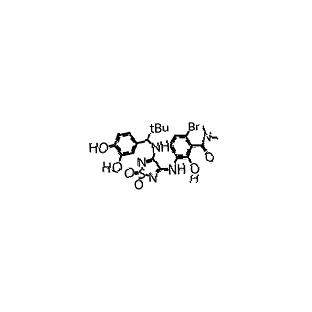 CN(C)C(=O)c1c(Br)ccc(NC2=NS(=O)(=O)N=C2N[C@@H](c2ccc(O)c(O)c2)C(C)(C)C)c1O